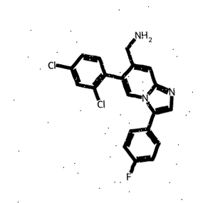 NCc1cc2ncc(-c3ccc(F)cc3)n2cc1-c1ccc(Cl)cc1Cl